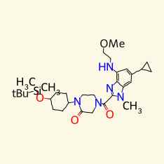 COCCNc1cc(C2CC2)cc2c1nc(C(=O)N1CCN(C3CCC(O[Si](C)(C)C(C)(C)C)CC3)C(=O)C1)n2C